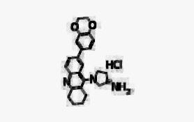 Cl.N[C@H]1CCN(c2c3c(nc4ccc(-c5ccc6c(c5)OCCO6)cc24)CCCC3)C1